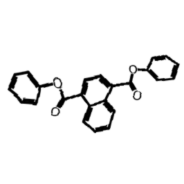 O=C(Oc1ccccc1)c1ccc(C(=O)Oc2ccccc2)c2ccccc12